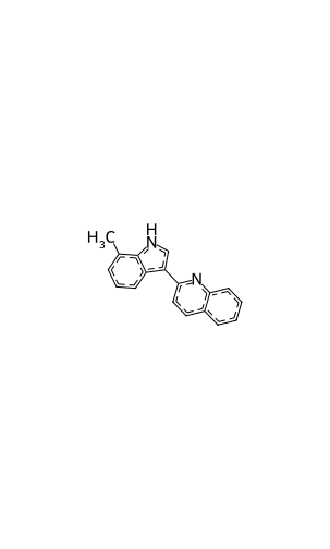 Cc1cccc2c(-c3ccc4ccccc4n3)c[nH]c12